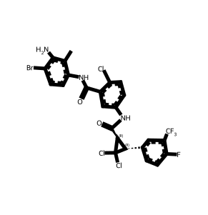 Cc1c(NC(=O)c2cc(NC(=O)[C@H]3[C@H](c4ccc(F)c(C(F)(F)F)c4)C3(Cl)Cl)ccc2Cl)ccc(Br)c1N